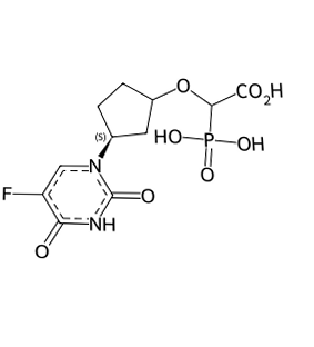 O=C(O)C(OC1CC[C@H](n2cc(F)c(=O)[nH]c2=O)C1)P(=O)(O)O